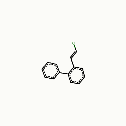 Cl/C=C/c1ccccc1-c1ccccc1